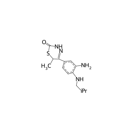 CC(C)CNc1ccc(C2=NNC(=O)SC2C)cc1N